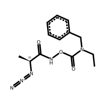 CCN(Cc1ccccc1)C(=O)ONC(=O)[C@H](C)N=[N+]=[N-]